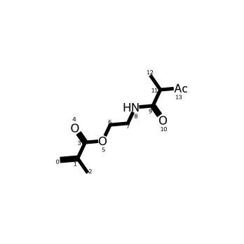 C=C(C)C(=O)OCCNC(=O)C(C)C(C)=O